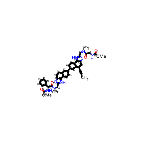 CC#Cc1cc2nc(CN(CCC)C(=O)CNC(=O)OC)[nH]c2c2ccc(-c3ccc4c(ccc5nc(CN(CCC)C(=O)[C@H](NC(=O)OC)c6ccccc6)[nH]c54)c3)cc12